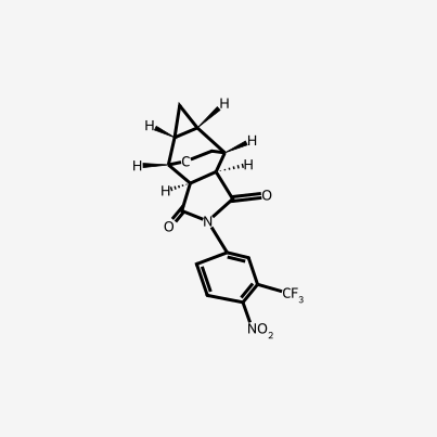 O=C1[C@@H]2[C@@H]3CC[C@@H]([C@@H]4C[C@@H]43)[C@@H]2C(=O)N1c1ccc([N+](=O)[O-])c(C(F)(F)F)c1